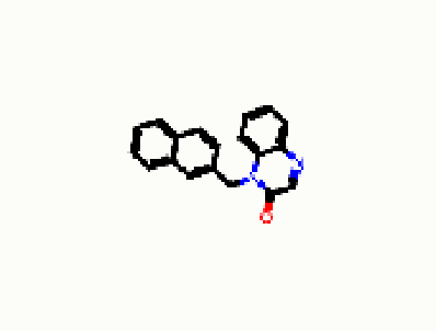 O=c1cnc2ccccc2n1Cc1ccc2ccccc2c1